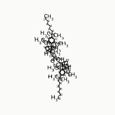 CCCCCCCC(C)(C)c1cc(OC)c([C@H]2C=C(CO[N+](=O)OCC3=C[C@H](c4c(OC)cc(C(C)(C)CCCCCCC)cc4OC)[C@@H]4C[C@@H]3C4(C)C)[C@@H]3C[C@@H]2C3(C)C)c(OC)c1